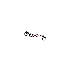 C=C(C)C(=O)SCCOc1ccc(-c2ccc(-c3ccc(SC(=O)C(=C)C)cc3)cc2)cc1